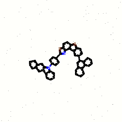 c1ccc2cc3c(cc2c1)c1ccccc1n3-c1ccc(-c2nc3c(ccc4sc5ccc(-c6cc7ccccc7c7ccccc67)cc5c43)s2)cc1